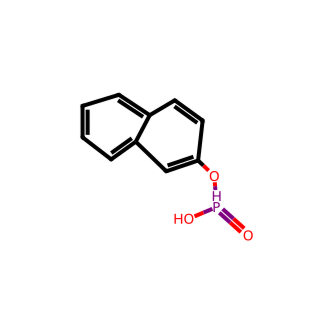 O=[PH](O)Oc1ccc2ccccc2c1